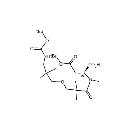 CN(C(=O)C(C)(C)COCC(C)(C)CNC(=O)OC(C)(C)C)[C@@H](CC(=O)OC(C)(C)C)C(=O)O